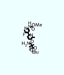 COC(=O)Nc1cc(-c2ccc(OC(N)C(C)(CC(C)C)C(=O)OC(C)(C)C)c(C)n2)c(F)cn1